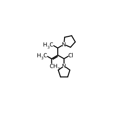 CC(C)=C(C(C)N1CCCC1)C(Cl)N1CCCC1